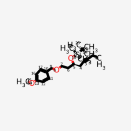 CCC#CC[C@@H](CCOCc1ccc(OC)cc1)O[Si](C)(C)C(C)(C)C